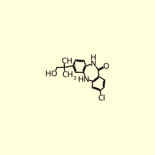 CC(C)(CO)c1ccc2c(c1)Nc1cc(Cl)ccc1C(=O)N2